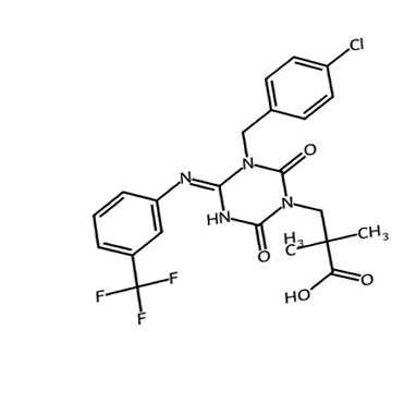 CC(C)(Cn1c(=O)[nH]/c(=N\c2cccc(C(F)(F)F)c2)n(Cc2ccc(Cl)cc2)c1=O)C(=O)O